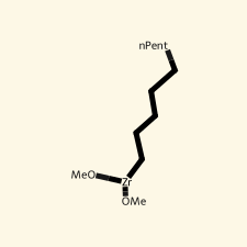 CCCCCCCCC[CH2][Zr]([O]C)[O]C